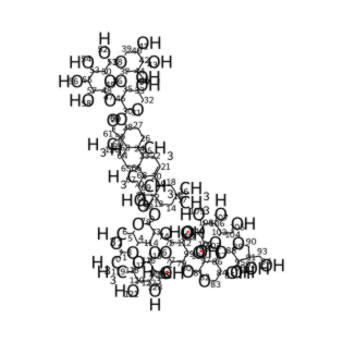 CC(=O)O[C@H]1C(C)O[C@@H](OC(=O)[C@]23CCC(C)(C)CC2C2=CCC4C5(C)CC[C@H](O[C@@H]6OC[C@@H](O)[C@H](O[C@@H]7OC[C@@H](O)[C@H](O)C7O)C6O[C@@H]6OC(CO)[C@H](O)[C@H](O)C6O)C(C)(C=O)[C@@H]5CCC4(C)C2(C)C[C@H]3O)[C@H](O[C@@H]2OC(C)[C@H](O[C@@H]3OC[C@@H](O)C(O[C@@H]4OC[C@@](O)(CO)C4O)[C@H]3O)[C@@H](O[C@@H]3OC(CO)[C@@H](O)C(O)[C@H]3O)C2O)C1O[C@@H]1OC(C)[C@H](O)C(O)[C@@H]1O